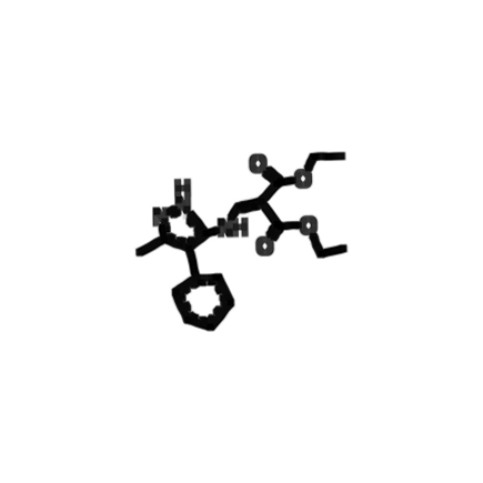 CCOC(=O)C(=CNc1[nH]nc(C)c1-c1ccccc1)C(=O)OCC